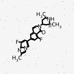 Cc1cn2cc(-c3cc(F)c4c(=O)n(C5C[C@@H](C)N[C@@H](C)C5)ccc4c3)cc(F)c2n1